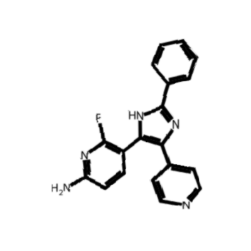 Nc1ccc(-c2[nH]c(-c3ccccc3)nc2-c2ccncc2)c(F)n1